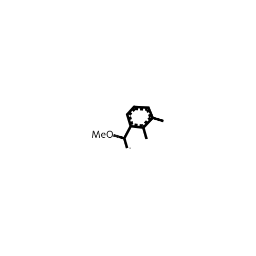 [CH2]C(OC)c1cccc(C)c1C